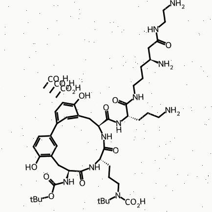 CC(=O)O.CC(=O)O.CC(=O)O.CC(C)(C)OC(=O)N[C@H]1Cc2cc(ccc2O)-c2ccc(O)c(c2)C[C@@H](C(=O)N[C@@H](CCCN)C(=O)NCCC[C@H](N)CC(=O)NCCN)NC(=O)[C@H](CCCN(C(=O)O)C(C)(C)C)NC1=O